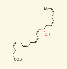 CC/C=C\C/C=C\CC(O)/C=C\C=C/C/C=C\C/C=C\CCC(=O)O